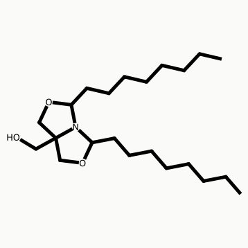 CCCCCCCCC1OCC2(CO)COC(CCCCCCCC)N12